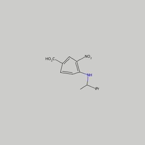 CC(C)C(C)Nc1ccc(C(=O)O)cc1[N+](=O)[O-]